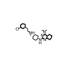 CN(C)c1nc(N[C@H]2CC[C@@H](CNCCc3cccc(Cl)c3)CC2)nc2ccccc12